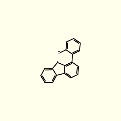 Fc1ccccc1-c1cccc2c1[CH]c1ccccc1-2